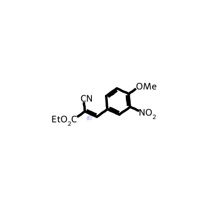 CCOC(=O)/C(C#N)=C/c1ccc(OC)c([N+](=O)[O-])c1